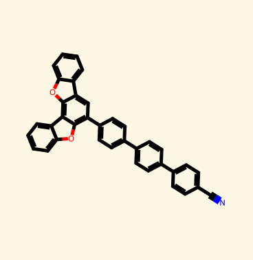 N#Cc1ccc(-c2ccc(-c3ccc(-c4cc5c6ccccc6oc5c5c4oc4ccccc45)cc3)cc2)cc1